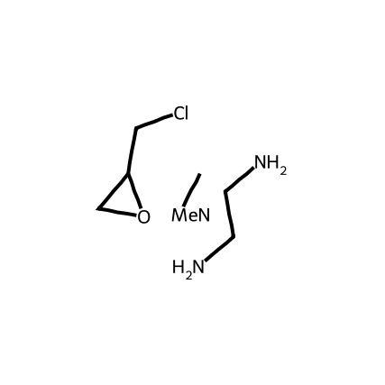 CNC.ClCC1CO1.NCCN